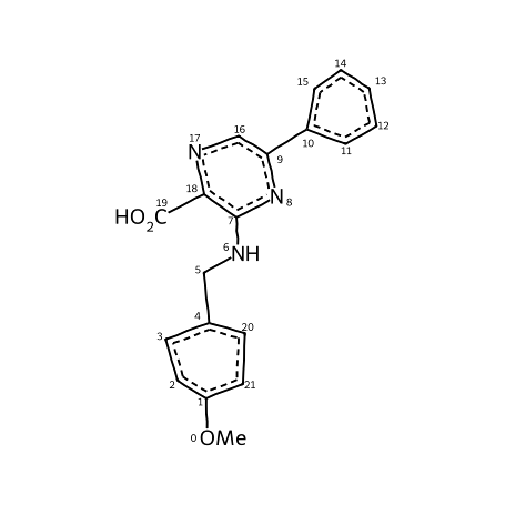 COc1ccc(CNc2nc(-c3ccccc3)cnc2C(=O)O)cc1